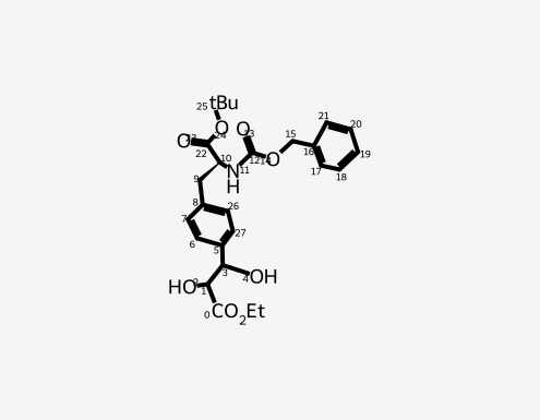 CCOC(=O)C(O)C(O)c1ccc(C[C@H](NC(=O)OCc2ccccc2)C(=O)OC(C)(C)C)cc1